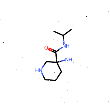 CC(C)NC(=O)C1(N)CCCNC1